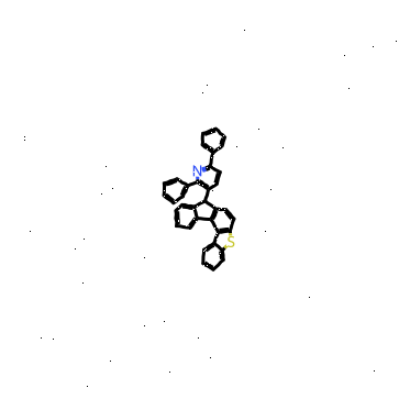 c1ccc(-c2ccc(C3c4ccccc4-c4c3ccc3sc5ccccc5c43)c(-c3ccccc3)n2)cc1